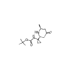 C[C@H]1CC(=O)C[C@@H](C2(NC(=O)OC(C)(C)C)CC2)N1